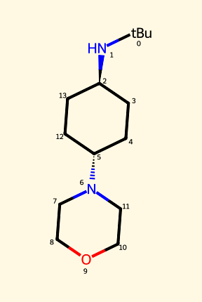 CC(C)(C)N[C@H]1CC[C@H](N2CCOCC2)CC1